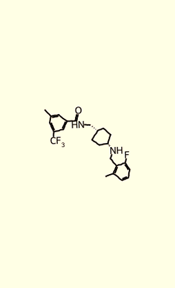 Cc1cc(C(=O)NC[C@H]2CC[C@@H](NCc3c(C)cccc3F)CC2)cc(C(F)(F)F)c1